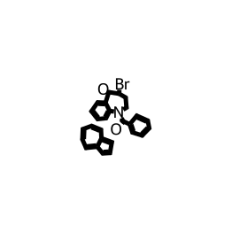 O=C1c2ccccc2N(C(=O)c2ccccc2)CCC1Br.c1ccc2cccc-2cc1